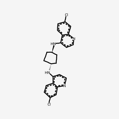 Clc1ccc2c(N[C@H]3CC[C@H](Nc4ccnc5cc(Cl)ccc45)CC3)ccnc2c1